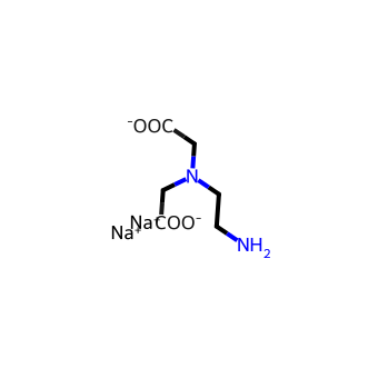 NCCN(CC(=O)[O-])CC(=O)[O-].[Na+].[Na+]